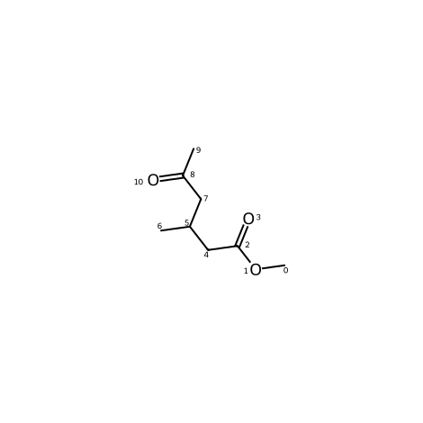 COC(=O)CC(C)CC(C)=O